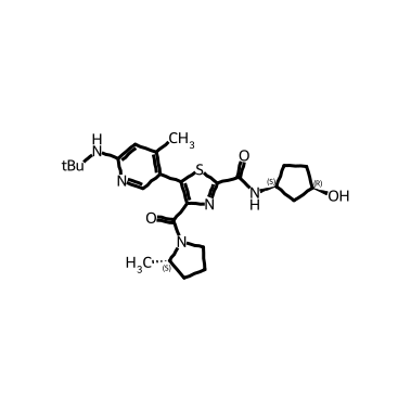 Cc1cc(NC(C)(C)C)ncc1-c1sc(C(=O)N[C@H]2CC[C@@H](O)C2)nc1C(=O)N1CCC[C@@H]1C